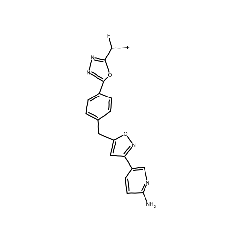 Nc1ccc(-c2cc(Cc3ccc(-c4nnc(C(F)F)o4)cc3)on2)cn1